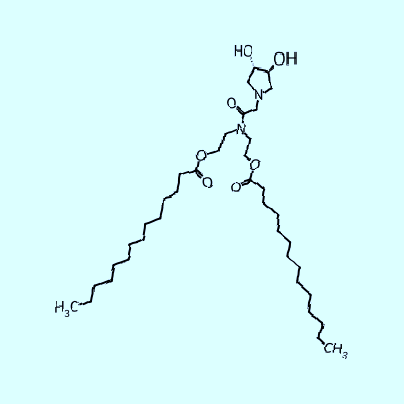 CCCCCCCCCCCCCC(=O)OCCN(CCOC(=O)CCCCCCCCCCCCC)C(=O)CN1C[C@H](O)[C@@H](O)C1